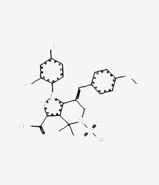 COc1ccc(C=C2CN(S(N)(=O)=O)C(C)(C)c3c(C(=O)O)nn(-c4ccc(Cl)cc4Cl)c32)cc1